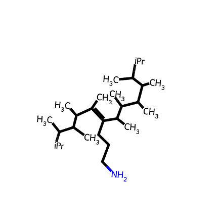 C/C(=C(/CCCN)C(C)C(C)C(C)C(C)C(C)C(C)C)C(C)C(C)C(C)C(C)C